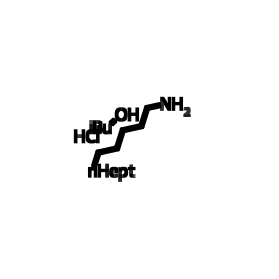 CCC(C)O.CCCCCCCCCCCCN.Cl